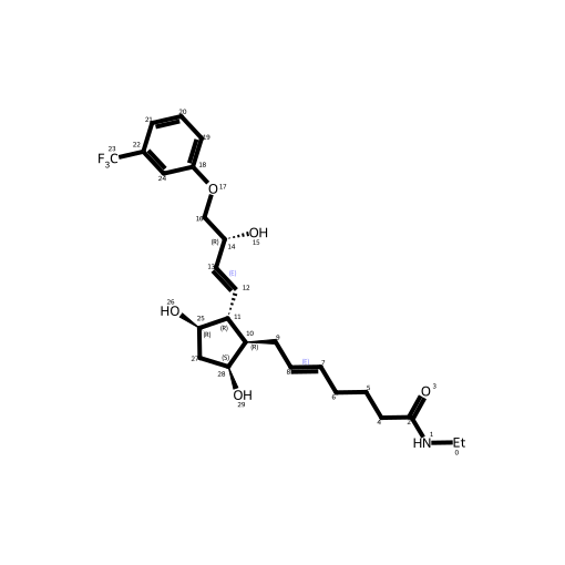 CCNC(=O)CCC/C=C/C[C@@H]1[C@@H](/C=C/[C@@H](O)COc2cccc(C(F)(F)F)c2)[C@H](O)C[C@@H]1O